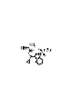 CCCCS(=O)(=O)n1cc(/C(=N\NC(=N)N)C2CC2)c2ccccc21